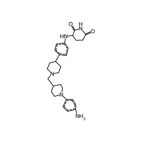 Nc1ccc(N2CCC(CN3CCC(c4ccc(NC5CCC(=O)NC5=O)cc4)CC3)CC2)cc1